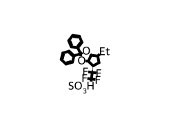 CCC1C[C@H](C(F)(F)C(F)(F)S(=O)(=O)O)C2OC(c3ccccc3)(c3ccccc3)OC12